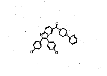 O=C(c1ccc2nc(-c3ccc(Cl)cc3)c(-c3ccc(Cl)cc3)n2c1)N1CCN(c2ccccn2)CC1